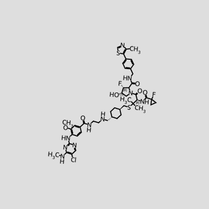 CNc1nc(Nc2ccc(C(=O)NCCNC[C@H]3CC[C@H](CSC(C)(C)[C@H](NC(=O)C4(F)CC4)C(=O)N4C[C@H](O)[C@H](F)C4C(=O)NCc4ccc(-c5scnc5C)cc4)CC3)cc2OC)ncc1Cl